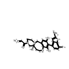 C=CC(=O)N1CCN2Cc3cc(Cl)c(-c4ccc(F)c5sc(N)cc45)c(Cl)c3OCC[C@@H]2C1